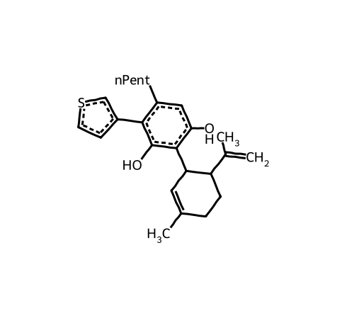 C=C(C)C1CCC(C)=CC1c1c(O)cc(CCCCC)c(-c2ccsc2)c1O